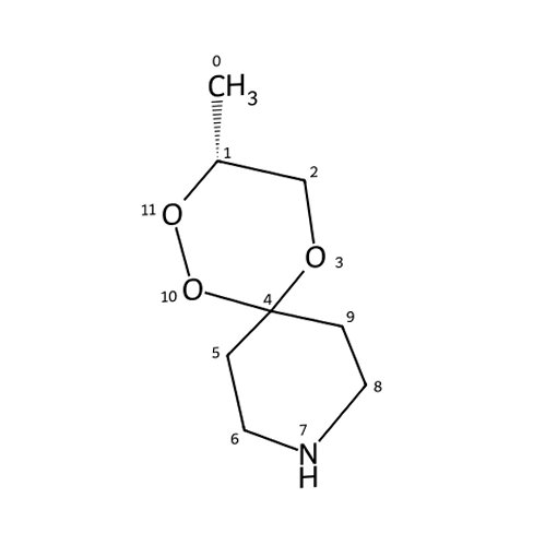 C[C@@H]1COC2(CCNCC2)OO1